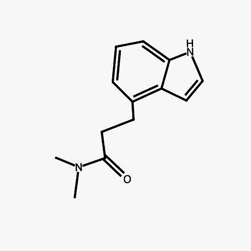 CN(C)C(=O)CCc1cccc2[nH]ccc12